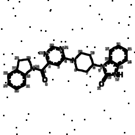 O=C(c1cc(N2CCC(n3c(=O)[nH]c4ccccc43)CC2)ncn1)N1CCc2ccccc21